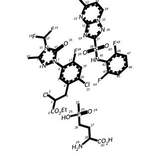 CCOC(=O)C(Cl)Cc1cc(-n2nc(C)n(C(F)F)c2=O)c(F)cc1Cl.CP(=O)(O)CCC(N)C(=O)O.Cc1ccn2nc(S(=O)(=O)Nc3c(F)cccc3F)nc2n1